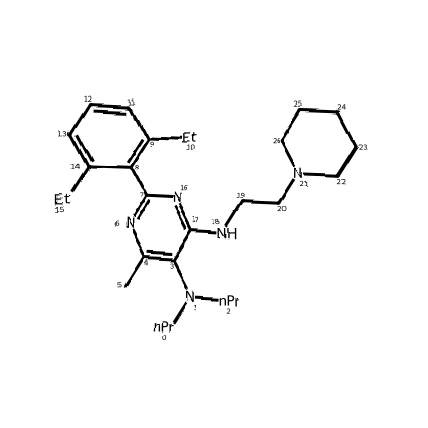 CCCN(CCC)c1c(C)nc(-c2c(CC)cccc2CC)nc1NCCN1CCCCC1